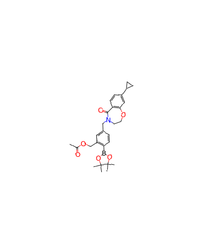 CC(=O)OCc1cc(CN2CCOc3cc(C4CC4)ccc3C2=O)ccc1B1OC(C)(C)C(C)(C)O1